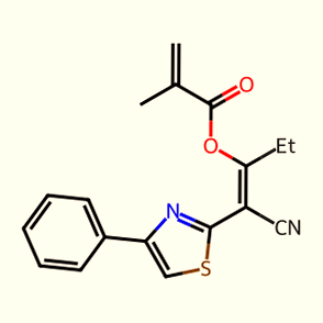 C=C(C)C(=O)OC(CC)=C(C#N)c1nc(-c2ccccc2)cs1